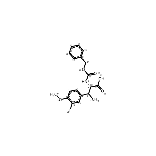 COc1ccc(C(C)[C@H](NC(=O)OCc2ccccc2)C(=O)O)cc1I